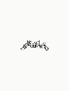 C=C(Nc1cc(C(=O)N2CCOCC2)n(C)n1)C(=O)N(C)/C=C(\C)c1ccnc(-n2ccn3c4c(cc3c2=O)CC(C)(C)C4)c1CO